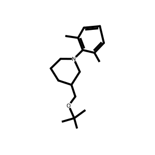 Cc1cccc(C)c1N1CCCC(COC(C)(C)C)C1